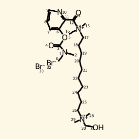 CN(C)C(=O)Oc1cccnc1C(=O)[N+](C)(C)CCCCCCCCCC[N+](C)(C)CO.[Br-].[Br-]